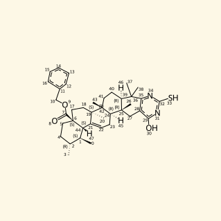 C[C@H]1[C@H](C)CC[C@]2(C(=O)OCc3ccccc3)CC[C@]3(C)C(=CC[C@@H]4[C@@]5(C)Cc6c(O)nc(S)nc6C(C)(C)[C@@H]5CC[C@]43C)[C@H]12